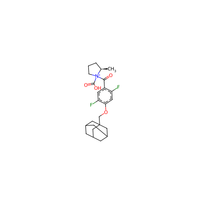 C[C@@H]1CCC[N+]1(C(=O)O)C(=O)c1cc(F)c(OCC23CC4CC(CC(C4)C2)C3)cc1F